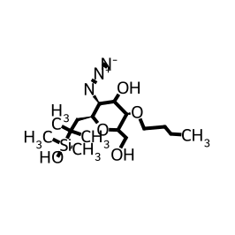 CCCCO[C@@H]1C(CO)O[C@@H](CC(C)(C)[Si](C)(C)O)[C@@H](N=[N+]=[N-])C1O